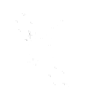 CC(C)(C)C(=O)OCSP1(=O)OCC2OC(n3cnc4c(N)ncnc43)C(F)C2OP(=O)(S)OCC2O[C@@H](n3cnc4c(N)ncnc43)[C@@H](O1)[C@H]2O